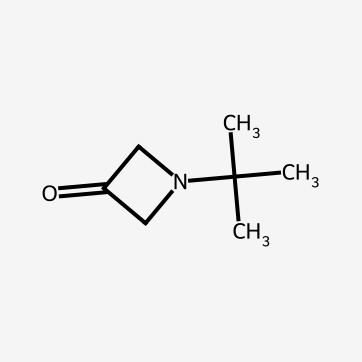 CC(C)(C)N1CC(=O)C1